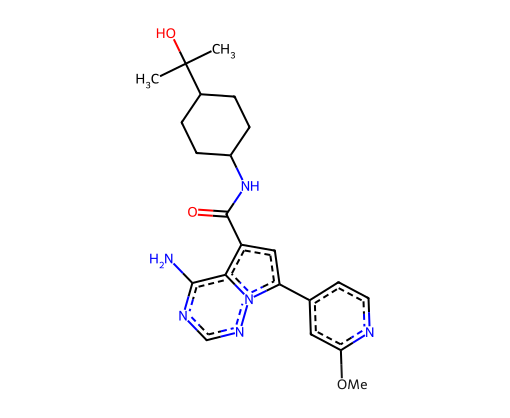 COc1cc(-c2cc(C(=O)NC3CCC(C(C)(C)O)CC3)c3c(N)ncnn23)ccn1